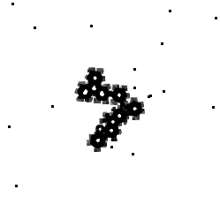 CC1(C)c2cc3c(cc2-c2ccc4c(oc5ccccc54)c21)c1ccccc1n3-c1cccc(C2=CC3=c4ccccc4=C4C=CCCC4C3CC2)c1